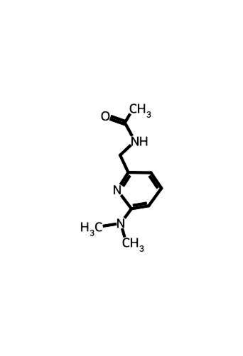 CC(=O)NCc1cccc(N(C)C)n1